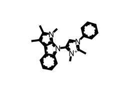 Cc1c(C)n(C)c2c1c1ccccc1n2-c1cn(-c2ccccc2)c(C)[n+]1C